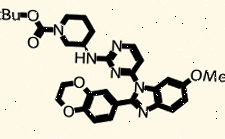 COc1ccc2nc(-c3ccc4c(c3)OCCO4)n(-c3ccnc(N[C@H]4CCCN(C(=O)OC(C)(C)C)C4)n3)c2c1